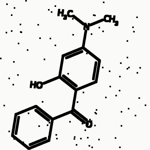 CN(C)c1ccc(C(=O)c2ccccc2)c(O)c1